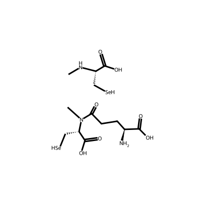 CN(C(=O)CC[C@H](N)C(=O)O)[C@@H](C[SeH])C(=O)O.CN[C@@H](C[SeH])C(=O)O